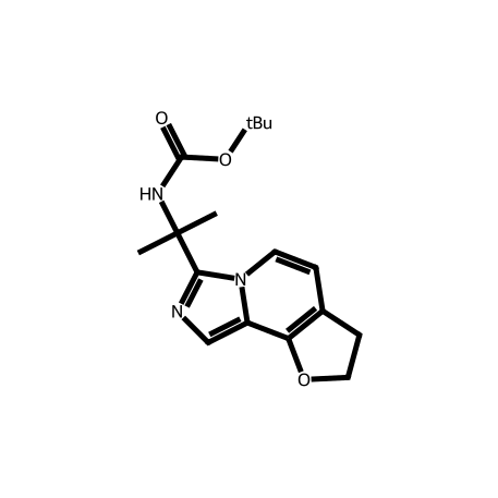 CC(C)(C)OC(=O)NC(C)(C)c1ncc2c3c(ccn12)CCO3